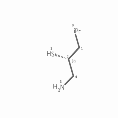 CC(C)C[C@@H](S)CN